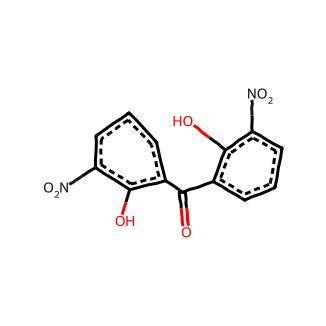 O=C(c1cccc([N+](=O)[O-])c1O)c1cccc([N+](=O)[O-])c1O